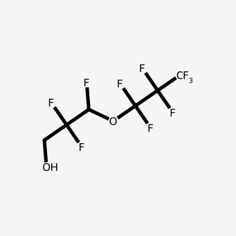 OCC(F)(F)C(F)OC(F)(F)C(F)(F)C(F)(F)F